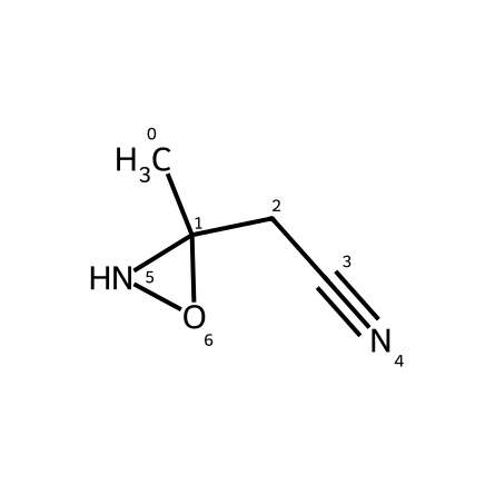 CC1(CC#N)NO1